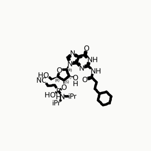 CC(C)N(C(C)C)[PH](O)(CCC#N)O[C@H]1[C@@H](O)[C@H](n2cnc3c(=O)[nH]c(NC(=O)CCC4CCCCC4)nc32)O[C@@H]1CO